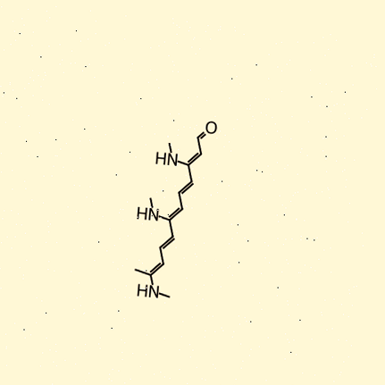 CNC(C)=CC=CC(=CC=CC(=CC=O)NC)NC